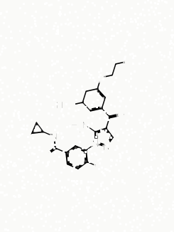 CCCOC1=CC(C(=O)c2cnn(-c3cc(C(=O)NC4CC4)ccc3C)c2N)=CC(C)C1